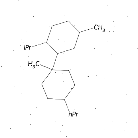 CCCC1CCC(C)(C2CC(C)CCC2C(C)C)CC1